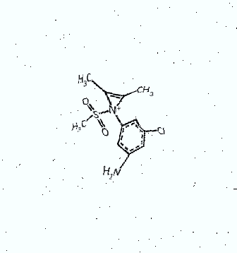 CC1=C(C)[N+]1(c1cc(N)cc(Cl)c1)S(C)(=O)=O